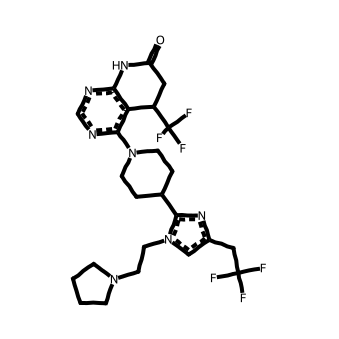 O=C1CC(C(F)(F)F)c2c(ncnc2N2CCC(c3nc(CC(F)(F)F)cn3CCN3CCCC3)CC2)N1